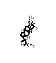 CCN1C(=O)CC[C@@]2(C)C1=CC[C@@H]1[C@@H]2CC[C@]2(C)C(c3cncc(C)c3)=CC[C@@H]12